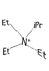 CC[N+](CC)(CC)C(C)C